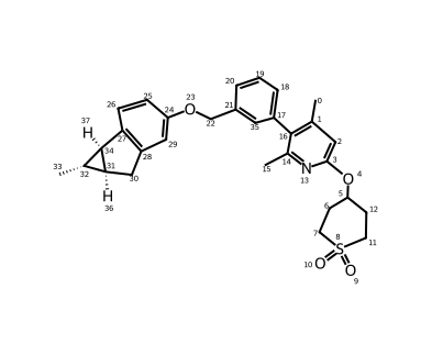 Cc1cc(OC2CCS(=O)(=O)CC2)nc(C)c1-c1cccc(COc2ccc3c(c2)C[C@H]2[C@H](C)[C@@H]32)c1